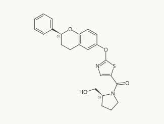 O=C(c1cnc(Oc2ccc3c(c2)CC[C@@H](c2ccccc2)O3)s1)N1CCC[C@H]1CO